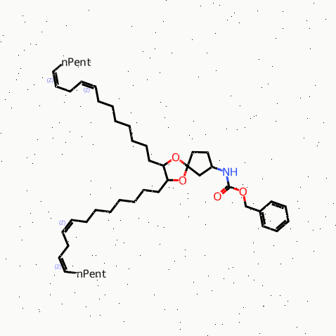 CCCCC/C=C\C/C=C\CCCCCCCC1OC2(CCC(NC(=O)OCc3ccccc3)C2)OC1CCCCCCC/C=C\C/C=C\CCCCC